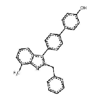 Oc1ccc(-c2ccc(-c3c4cccc(C(F)(F)F)c4nn3Cc3ccccc3)cc2)cc1